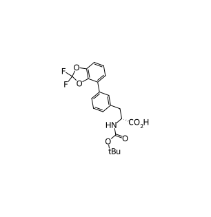 CC(C)(C)OC(=O)N[C@H](Cc1cccc(-c2cccc3c2OC(F)(F)O3)c1)C(=O)O